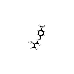 CC(=O)C(N)C(=O)OCc1ccc([N+](=O)[O-])cc1